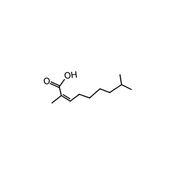 CC(=CCCCCC(C)C)C(=O)O